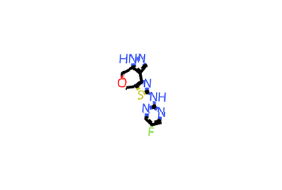 Fc1cnc(Nc2nc3c(s2)COCc2[nH]ncc2-3)nc1